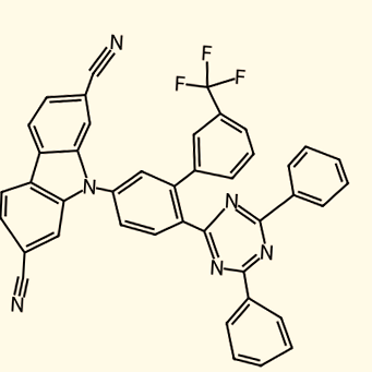 N#Cc1ccc2c3ccc(C#N)cc3n(-c3ccc(-c4nc(-c5ccccc5)nc(-c5ccccc5)n4)c(-c4cccc(C(F)(F)F)c4)c3)c2c1